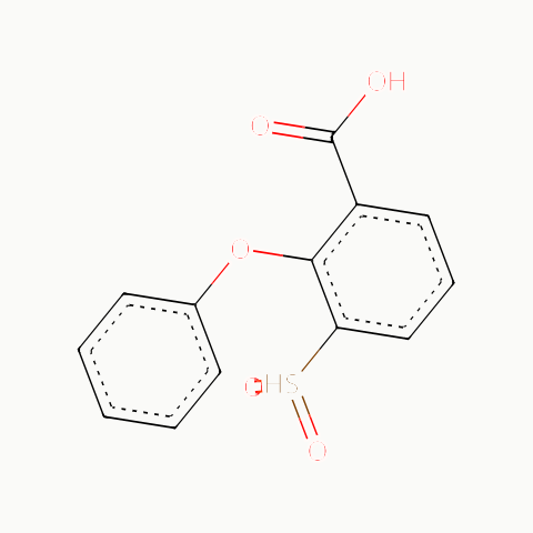 O=C(O)c1cccc([SH](=O)=O)c1Oc1ccccc1